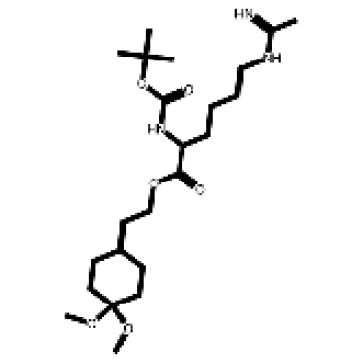 COC1(OC)CCC(CCOC(=O)C(CCCCNC(C)=N)NC(=O)OC(C)(C)C)CC1